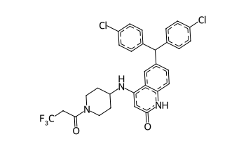 O=C(CC(F)(F)F)N1CCC(Nc2cc(=O)[nH]c3ccc(C(c4ccc(Cl)cc4)c4ccc(Cl)cc4)cc23)CC1